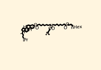 CCCCCC/C=C\COC(=O)CCCCCCCN(CCCCCCCC(=O)O[C@H]1CC[C@@]2(C)C(=CC[C@@H]3[C@@H]2CC[C@]2(C)C([C@H](C)CCCC(C)C)CC[C@@H]32)C1)C(=O)SCCN(C)C